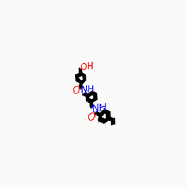 CCc1ccc(C(=O)NCc2cccc(CNC(=O)c3ccc(CO)cc3)c2)cc1